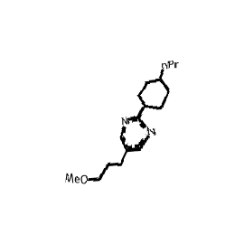 CCCC1CCC(c2ncc(CCCOC)cn2)CC1